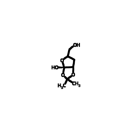 CC1(C)OC2CC(CO)O[C@@]2(O)O1